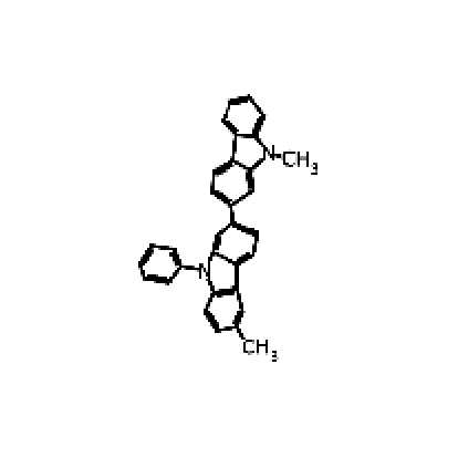 Cc1ccc2c(c1)c1ccc(-c3ccc4c5ccccc5n(C)c4c3)cc1n2-c1ccccc1